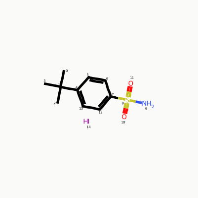 CC(C)(C)c1ccc(S(N)(=O)=O)cc1.I